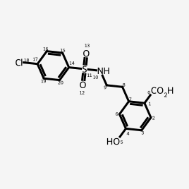 O=C(O)c1ccc(O)cc1CCNS(=O)(=O)c1ccc(Cl)cc1